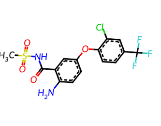 CS(=O)(=O)NC(=O)c1cc(Oc2ccc(C(F)(F)F)cc2Cl)ccc1N